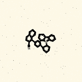 N#Cc1ccc2ccccc2c1-c1ccc(-c2ccccc2-n2c3ccccc3c3ccccc32)cc1